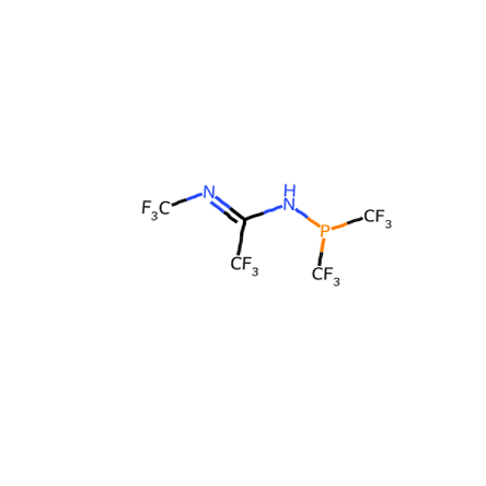 FC(F)(F)/N=C(/NP(C(F)(F)F)C(F)(F)F)C(F)(F)F